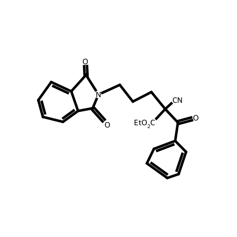 CCOC(=O)C(C#N)(CCCN1C(=O)c2ccccc2C1=O)C(=O)c1ccccc1